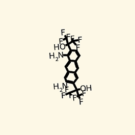 Nc1cc2cc3c(N)c(C(O)(C(F)(F)F)C(F)(F)F)ccc3cc2cc1C(O)(C(F)(F)F)C(F)(F)F